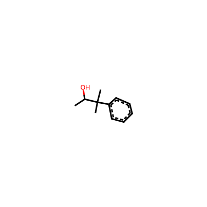 CC(O)C(C)(C)c1ccccc1